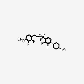 CCC[C@H]1CC[C@H](c2ccc(C(F)(F)OCCc3ccc(OCC)c(F)c3F)c(F)c2F)CC1